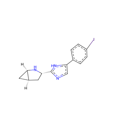 Ic1ccc(-c2cnc([C@@H]3C[C@H]4C[C@H]4N3)[nH]2)cc1